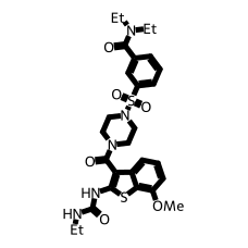 CCNC(=O)Nc1sc2c(OC)cccc2c1C(=O)N1CCN(S(=O)(=O)c2cccc(C(=O)N(CC)CC)c2)CC1